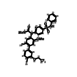 CNC(=O)N(c1ccc(S(=O)(=O)Nc2ncccn2)cn1)c1cc(F)c(-c2ccc(F)c(OCC(F)(F)F)c2)cc1OC